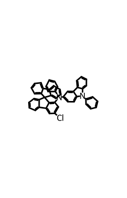 Clc1cc2c(c(N(c3ccccc3)c3ccc4c(c3)c3ccccc3n4-c3ccccc3)c1)C1(c3ccccc3-c3ccccc31)c1ccccc1-2